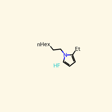 CCCCCCCCn1cccc1CC.F